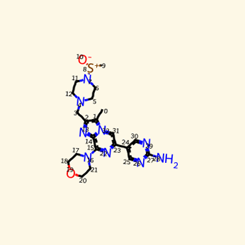 Cc1c(CN2CCN([S+](C)[O-])CC2)nc2c(N3CCOCC3)nc(-c3cnc(N)nc3)cn12